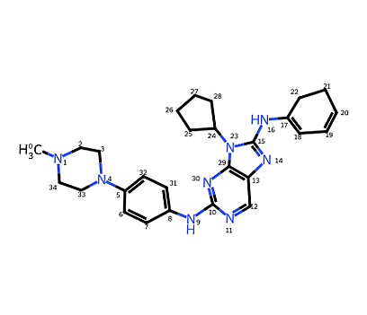 CN1CCN(c2ccc(Nc3ncc4nc(NC5=CC=CCC5)n(C5CCCC5)c4n3)cc2)CC1